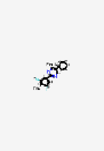 CCCC(C)C1(c2cnc(-c3cc(F)c(C#N)c(F)c3)nc2)CCCCC1